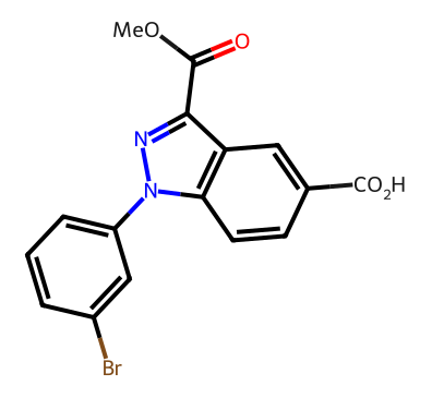 COC(=O)c1nn(-c2cccc(Br)c2)c2ccc(C(=O)O)cc12